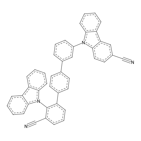 N#Cc1ccc2c(c1)c1ccccc1n2-c1cccc(-c2ccc(-c3cccc(C#N)c3-n3c4ccccc4c4ccccc43)cc2)c1